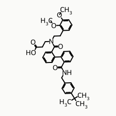 COc1cccc(CCN(CCC(=O)O)C(=O)c2ccccc2-c2ccccc2C(=O)NCc2ccc(C(C)(C)C)cc2)c1OC